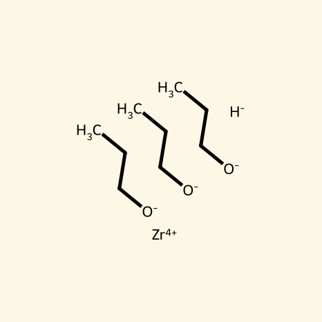 CCC[O-].CCC[O-].CCC[O-].[H-].[Zr+4]